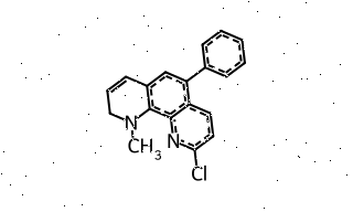 CN1CC=Cc2cc(-c3ccccc3)c3ccc(Cl)nc3c21